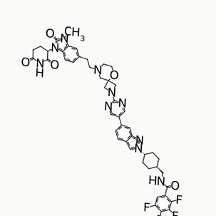 Cn1c(=O)n(C2CCC(=O)NC2=O)c2ccc(CCN3CCOC4(C3)CN(c3ncc(-c5ccc6cn([C@H]7CC[C@H](CNC(=O)c8cc(F)c(O)c(F)c8F)CC7)nc6c5)cn3)C4)cc21